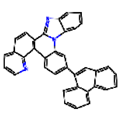 c1ccc2c(c1)cc(-c1ccc3c4c(ccc5cccnc54)c4nc5ccccc5n4c3c1)c1ccccc12